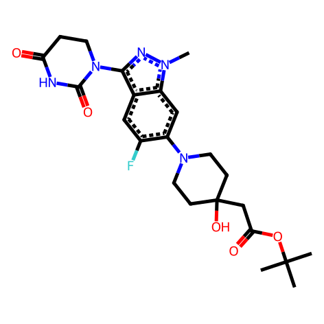 Cn1nc(N2CCC(=O)NC2=O)c2cc(F)c(N3CCC(O)(CC(=O)OC(C)(C)C)CC3)cc21